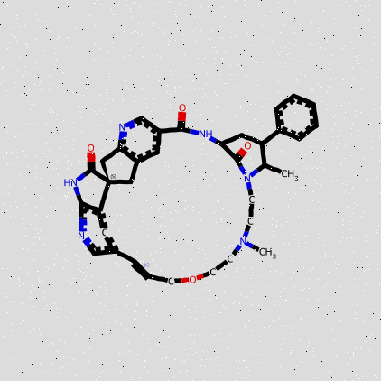 CC1C(c2ccccc2)CC2NC(=O)c3cnc4c(c3)C[C@@]3(C4)C(=O)Nc4ncc(cc43)/C=C/COCCN(C)CCN1C2=O